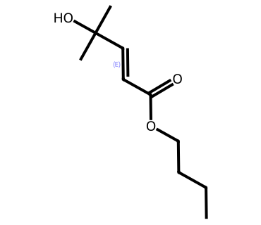 CCCCOC(=O)/C=C/C(C)(C)O